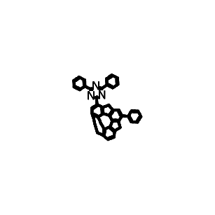 c1ccc(-c2nc(-c3ccccc3)nc(-c3cc4c5c6c(ccc7c6c6c(c(-c8ccccc8)cc8c6c5c3C8)C7)C4)n2)cc1